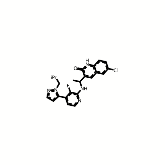 CC(C)Cn1nccc1-c1ccnc(NC(C)c2cc3cc(Cl)ccc3[nH]c2=O)c1F